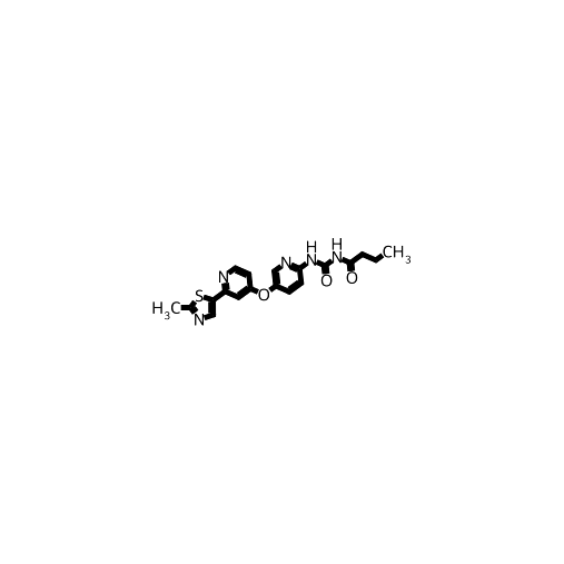 CCCC(=O)NC(=O)Nc1ccc(Oc2ccnc(-c3cnc(C)s3)c2)cn1